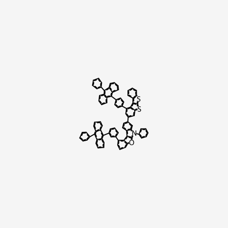 c1ccc(-c2c3ccccc3c(-c3ccc(-c4cc(-c5ccc6c7c8c(-c9cccc(-c%10c%11ccccc%11c(-c%11ccccc%11)c%11ccccc%10%11)c9)cccc8oc7n(-c7ccccc7)c6c5)cc5sc6sc7ccccc7c6c45)cc3)c3ccccc23)cc1